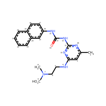 Cc1cc(NCCN(C)C(=O)O)nc(NC(=O)Nc2ccc3ccccc3c2)n1